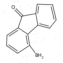 Bc1cccc2c1-c1ccccc1C2=O